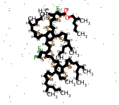 CCCCC(CC)COC(=O)c1sc2c(-c3cc4c(-c5ccc(CC(CC)CCCC)s5)c5sc(-c6sc(-c7cc8c(-c9ccc(CC(CC)CCCC)s9)c9sc(C)cc9c(-c9ccc(CC(CC)CCCC)s9)c8s7)c7sc(F)c(F)c67)cc5c(-c5ccc(CC(CC)CCCC)s5)c4s3)sc(C)c2c1F